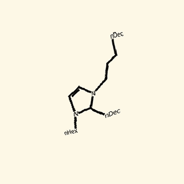 CCCCCCCCCCCCCN1C=CN(CCCCCC)C1CCCCCCCCCC